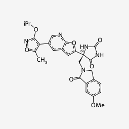 COc1ccc2c(c1)C(=O)N(C[C@@]1(c3cc4cc(-c5c(OC(C)C)noc5C)cnc4o3)NC(=O)NC1=O)C2